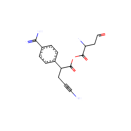 N=C(N)c1ccc(C(CC#CN)C(=O)OC(=O)C(N)CC=O)cc1